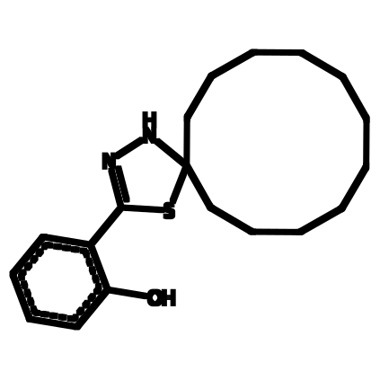 Oc1ccccc1C1=NNC2(CCCCCCCCCCC2)S1